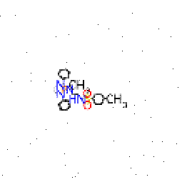 Cc1ccc(S(=O)(=O)NCCN(C)P2N(c3ccccc3)CCN2c2ccccc2)cc1